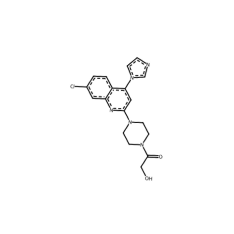 O=C(CO)N1CCN(c2cc(-n3ccnc3)c3ccc(Cl)cc3n2)CC1